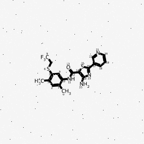 Cc1cc(C)c(SCC(F)(F)F)cc1NC(=O)c1sc(-c2cccnc2)nc1N